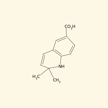 CC1(C)C=Cc2cc(C(=O)O)ccc2N1